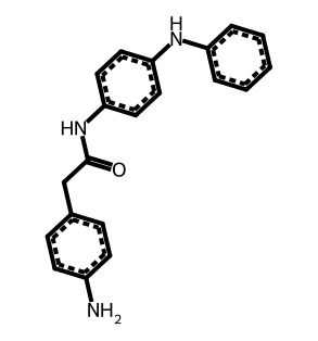 Nc1ccc(CC(=O)Nc2ccc(Nc3ccccc3)cc2)cc1